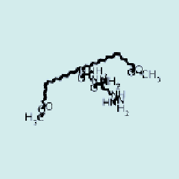 CCOC(=O)CCCC/C=C\CCCCCCCCN(CCCCCCCC/C=C\CCCCC(=O)OCC)C(=O)C(N)CNC(=O)C(N)CCCNC(=N)N